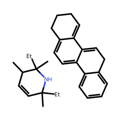 C1=c2c(ccc3c2=CCc2ccccc2-3)CCC1.CCC1(C)C=CC(C)C(C)(CC)N1